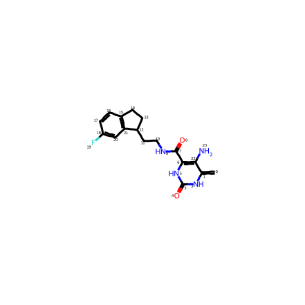 C=C1NC(=O)NC(C(=O)NCCC2CCc3ccc(F)cc32)=C1N